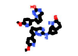 COc1ccc(-c2ccc3cnc(Nc4ccc5c(c4)NC(=O)CC5)nn23)cn1.COc1ccc(-c2ccc3cnc(O)nn23)cn1